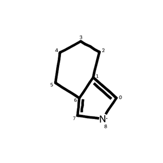 C1=C2CCCCC2=C[N]1